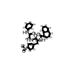 C[C@H](NC(=O)C(Cc1ccc([N+](=O)[O-])cc1)NC(=O)c1cccc2ccccc12)C(=O)Nc1ccccc1